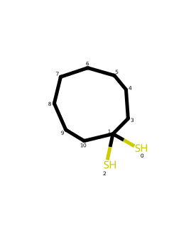 SC1(S)CCCCCCCC1